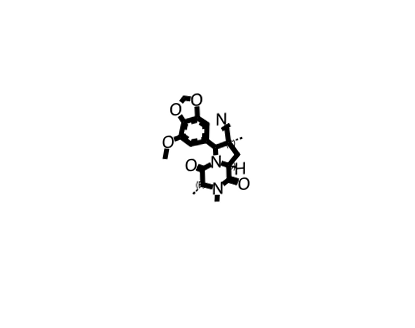 COc1cc(C2N3C(=O)[C@@H](C)N(C)C(=O)[C@@H]3C[C@]2(C)C#N)cc2c1OCO2